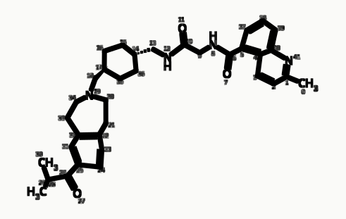 Cc1ccc2c(C(=O)NCC(=O)NC[C@H]3CC[C@H](CN4CCc5ccc(C(=O)C(C)C)cc5CC4)CC3)cccc2n1